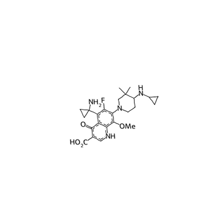 COc1c(N2CCC(NC3CC3)C(C)(C)C2)c(F)c(C2(N)CC2)c2c(=O)c(C(=O)O)c[nH]c12